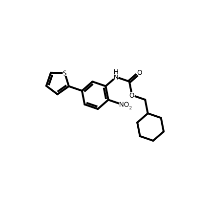 O=C(Nc1cc(-c2cccs2)ccc1[N+](=O)[O-])OCC1CCCCC1